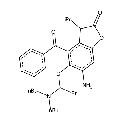 CCCCN(CCCC)C(CC)Oc1c(N)cc2c(c1C(=O)c1ccccc1)C(C(C)C)C(=O)O2